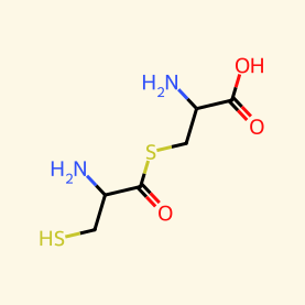 NC(CSC(=O)C(N)CS)C(=O)O